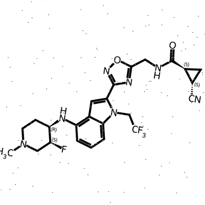 CN1CC[C@@H](Nc2cccc3c2cc(-c2noc(CNC(=O)[C@H]4C[C@@H]4C#N)n2)n3CC(F)(F)F)[C@@H](F)C1